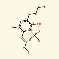 CCC=Cc1c(C)cc(CCCC)c(O)c1C(C)(C)C